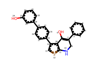 OC1=C(c2ccccc2)CNc2scc(-c3ccc(-c4cccc(O)c4)cc3)c21